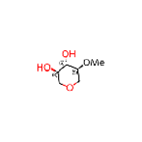 CO[C@H]1COC[C@@H](O)[C@@H]1O